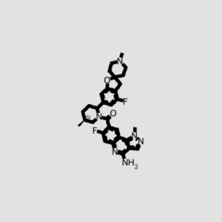 C[C@H]1CCC(c2cc(F)c3c(c2)OC2(CCN(C)CC2)C3)N(C(=O)c2cc3c(cc2F)nc(N)c2cnn(C)c23)C1